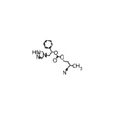 CC(C#N)CCOC(=O)OC(CN1C=NNC1)c1ccccc1